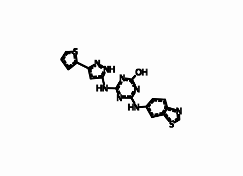 Oc1nc(Nc2ccc3ncsc3c2)nc(Nc2cc(-c3cccs3)n[nH]2)n1